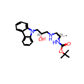 C[C@@H](CNC[C@H](O)Cn1c2ccccc2c2ccccc21)NC(=O)OC(C)(C)C